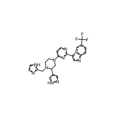 FC(F)(F)c1ccc2ncc(-c3nccc(N4CCN(Cc5ncc[nH]5)C(c5cn[nH]c5)C4)n3)n2c1